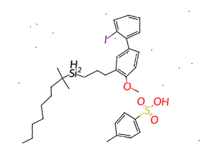 CCCCCCCC(C)(C)[SiH2]CCCc1cc(-c2ccccc2I)ccc1OC.Cc1ccc(S(=O)(=O)O)cc1